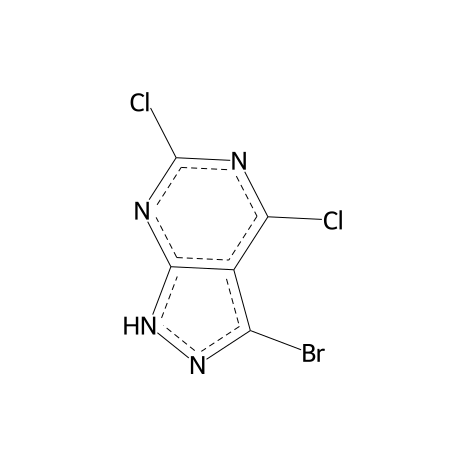 Clc1nc(Cl)c2c(Br)n[nH]c2n1